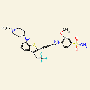 COc1cc(S(N)(=O)=O)ccc1NCC#Cc1sc2c(NC3CCN(C)CC3)cccc2c1CC(F)(F)F